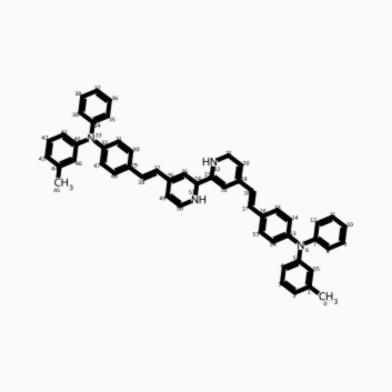 Cc1cccc(N(c2ccccc2)c2ccc(/C=C/C3=CCNC(C4C=C(/C=C/c5ccc(N(c6ccccc6)c6cccc(C)c6)cc5)C=CN4)=C3)cc2)c1